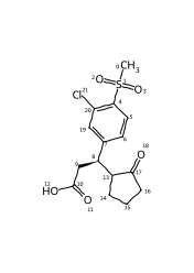 CS(=O)(=O)c1ccc([C@H](CC(=O)O)C2CCCC2=O)cc1Cl